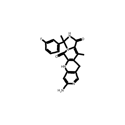 Cc1c2c(c(=O)n3c1C(=O)NC3(C)c1cccc(F)c1)Nc1cc(N)ncc1C2